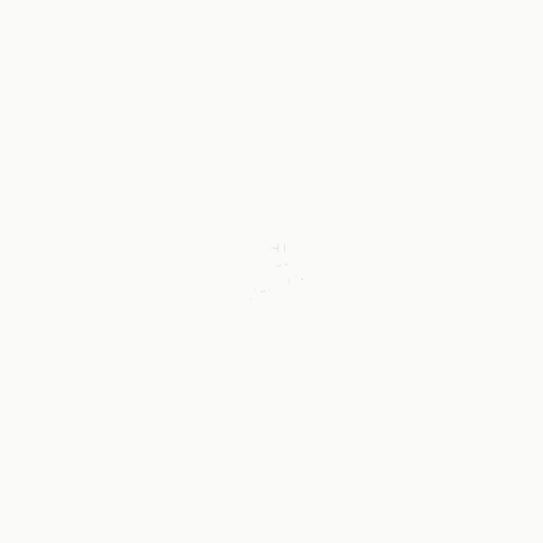 [Cr+3].[GeH2-].[GeH2-].[GeH2-]